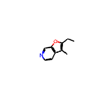 CCc1oc2cnccc2c1C